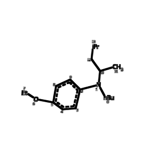 CCCCN(c1ccc(OCC)cc1)C(C)CC(C)C